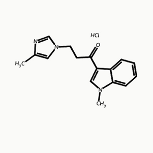 Cc1cn(CCC(=O)c2cn(C)c3ccccc23)cn1.Cl